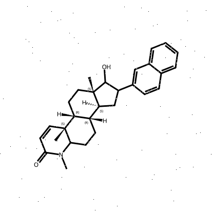 CN1C(=O)C=C[C@@]2(C)C1CC[C@@H]1[C@H]2CC[C@]2(C)C(O)C(c3ccc4ccccc4c3)C[C@@H]12